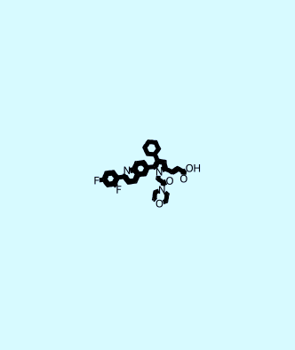 O=C(O)C=Cc1cc(C2CCCCC2)c(-c2ccc3nc(-c4ccc(F)cc4F)ccc3c2)n1CC(=O)N1CCOCC1